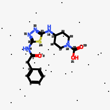 O=C(Cc1ccccc1)Nc1nnc(NC2CCN(C(=O)O)CC2)s1